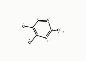 Clc1cnc(C(Cl)(Cl)Cl)nc1Cl